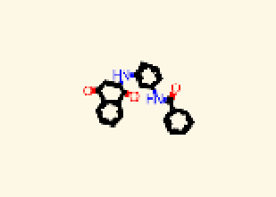 O=C(Nc1cccc(NC2=CC(=O)c3ccccc3C2=O)c1)c1ccccc1